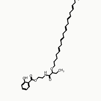 CCC=CCC=CCC=CCC=CCC=CCCCCOC(CC)C(=O)NCCOC(=O)c1ccccc1O